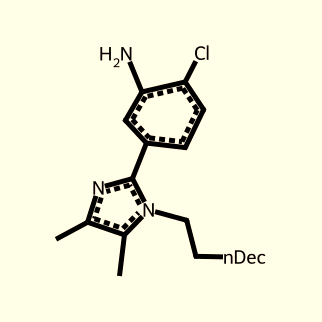 CCCCCCCCCCCCn1c(-c2ccc(Cl)c(N)c2)nc(C)c1C